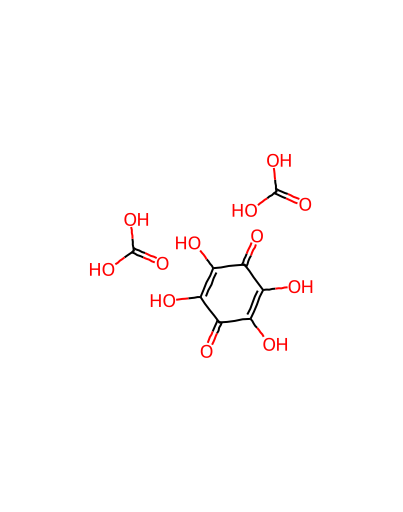 O=C(O)O.O=C(O)O.O=C1C(O)=C(O)C(=O)C(O)=C1O